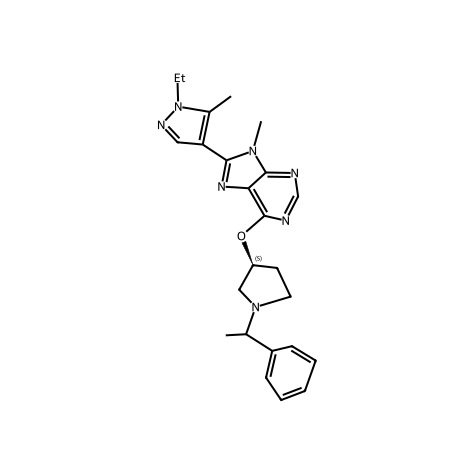 CCn1ncc(-c2nc3c(O[C@H]4CCN(C(C)c5ccccc5)C4)ncnc3n2C)c1C